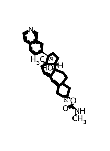 CNC(=O)O[C@H]1CCC2=CC3=CC[C@]4(C)[C@@H](c5ccc6ccncc6c5)CC[C@H]4[C@@]3(O)CCC2C1